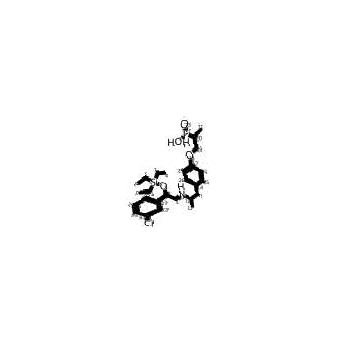 CC[Si](CC)(CC)OC(CNC(C)Cc1ccc(OCC(C)[PH](=O)O)cc1)c1cccc(Cl)c1